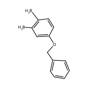 Bc1ccc(OCc2ccccc2)cc1B